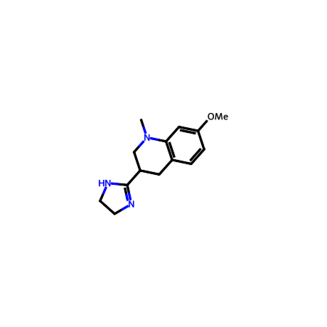 COc1ccc2c(c1)N(C)CC(C1=NCCN1)C2